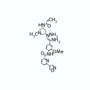 C=CC(=O)NC1CC(N(N)/C=C(\N)c2ccc(NC(=O)c3cccc(-c4cnoc4)n3)c(OC)c2)CN(C)C1